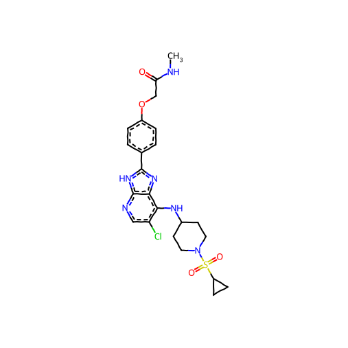 CNC(=O)COc1ccc(-c2nc3c(NC4CCN(S(=O)(=O)C5CC5)CC4)c(Cl)cnc3[nH]2)cc1